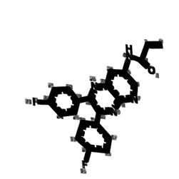 C=CC(=O)Nc1cnc2nc(-c3ccc(F)cc3)c(-c3ccc(F)cc3)nc2c1